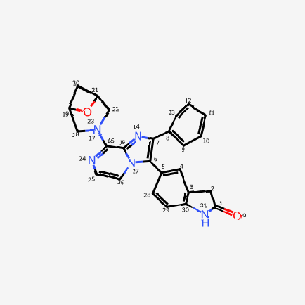 O=C1Cc2cc(-c3c(-c4ccccc4)nc4c(N5CC6CC(C5)O6)nccn34)ccc2N1